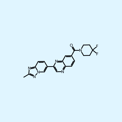 Cc1nc2ccc(-c3cnc4ccc(C(=O)N5CCC(F)(F)CC5)cc4n3)cn2n1